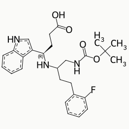 CC(C)(C)OC(=O)NCC(CCc1ccccc1F)N[C@H](CCC(=O)O)c1c[nH]c2ccccc12